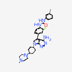 Cc1cccc(NC(=O)Nc2ccc(-c3cn(C4CCC(N5CCN(C)CC5)CC4)c4ncnc(N)c34)cc2F)c1